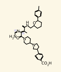 C=C(NCC1CCCC(c2ccc(C)cc2)O1)/C(C)=C(\N=C/N)C(=O)N1CCC(N2CCC(c3ccc(C(=O)O)cc3)C2)CC1